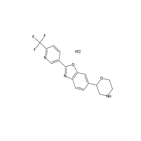 Cl.FC(F)(F)c1ccc(-c2nc3ccc(C4CNCCO4)cc3o2)cn1